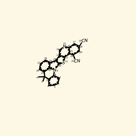 CC1(C)c2ccccc2-n2c3sc4c(cnc5cc(C#N)cc(C#N)c54)c3c3cccc1c32